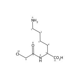 NCCCCC(NC(=O)CCl)C(=O)O